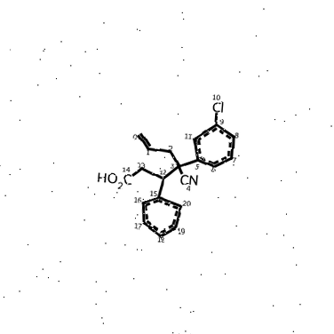 C=CCC(C#N)(c1cccc(Cl)c1)C(CC(=O)O)c1ccccc1